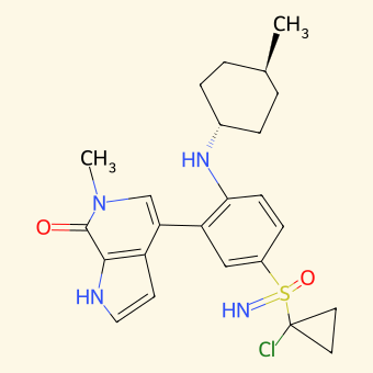 Cn1cc(-c2cc(S(=N)(=O)C3(Cl)CC3)ccc2N[C@H]2CC[C@H](C)CC2)c2cc[nH]c2c1=O